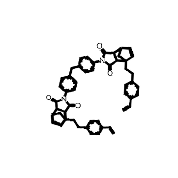 C=Cc1ccc(CCC23C=CC(C2)C2C(=O)N(c4ccc(Cc5ccc(N6C(=O)C7C8C=CC(CCc9ccc(C=C)cc9)(C8)C7C6=O)cc5)cc4)C(=O)C23)cc1